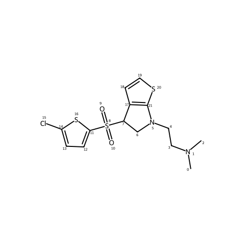 CN(C)CCN1CC(S(=O)(=O)c2ccc(Cl)s2)c2ccsc21